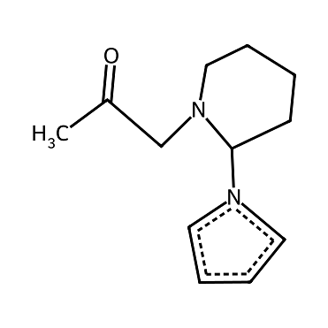 CC(=O)CN1CCCCC1n1cccc1